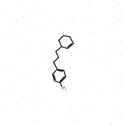 FC(F)(F)c1ccc(CCCC2C=CCCC2)cc1